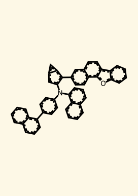 c1ccc2c(-c3ccc(N(c4cc5cc-5c4-c4ccc5c(ccc6c7ccccc7oc56)c4)c4cccc5ccccc45)cc3)cccc2c1